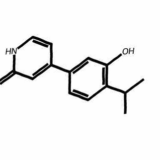 CC(C)c1ccc(-c2cc[nH]c(=O)c2)cc1O